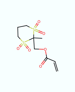 C=CC(=O)OCC1(C)S(=O)(=O)CCCS1(=O)=O